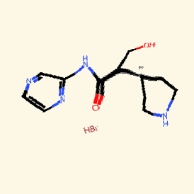 Br.O=C(Nc1cnccn1)C(CO)[C@H]1CCNC1